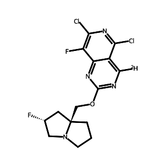 [2H]c1nc(OC[C@@]23CCCN2C[C@H](F)C3)nc2c(F)c(Cl)nc(Cl)c12